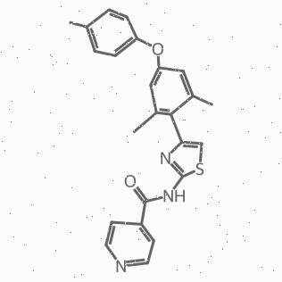 Cc1ccc(Oc2cc(C)c(-c3csc(NC(=O)c4ccncc4)n3)c(C)c2)cc1